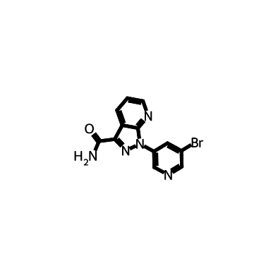 NC(=O)c1nn(-c2cncc(Br)c2)c2ncccc12